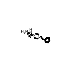 Nc1nnc(N2CCN(CCc3ccccc3)CC2)[nH]1